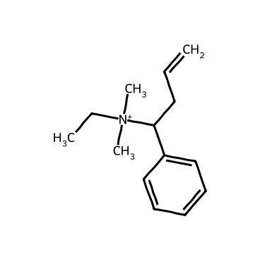 C=CCC(c1ccccc1)[N+](C)(C)CC